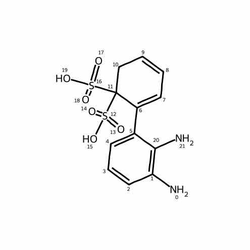 Nc1cccc(C2=CC=CCC2(S(=O)(=O)O)S(=O)(=O)O)c1N